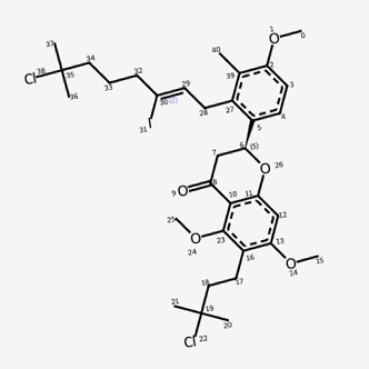 COc1ccc([C@@H]2CC(=O)c3c(cc(OC)c(CCC(C)(C)Cl)c3OC)O2)c(C/C=C(\I)CCCC(C)(C)Cl)c1C